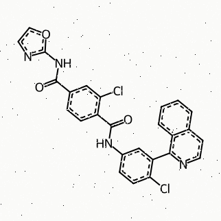 O=C(Nc1ncco1)c1ccc(C(=O)Nc2ccc(Cl)c(-c3nccc4ccccc34)c2)c(Cl)c1